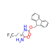 NC(=O)[C@H](CCC(F)(F)F)NC(=O)OCC1c2ccccc2-c2ccccc21